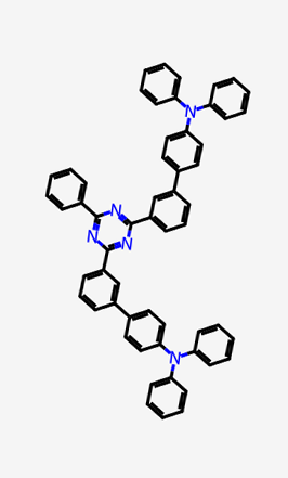 c1ccc(-c2nc(-c3cccc(-c4ccc(N(c5ccccc5)c5ccccc5)cc4)c3)nc(-c3cccc(-c4ccc(N(c5ccccc5)c5ccccc5)cc4)c3)n2)cc1